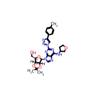 Cc1ccc(-c2cn(-c3nc(NC4CCOC4)c4ncn([C@@H]5O[C@H](CO)[C@H]6OC(C)(C)O[C@H]65)c4n3)nn2)cc1